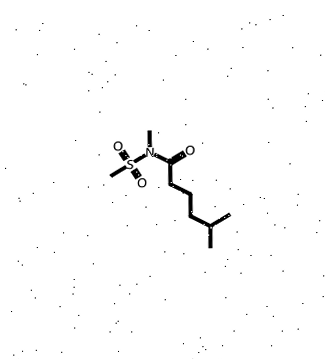 CC(C)CCCC(=O)N(C)S(C)(=O)=O